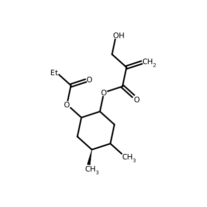 C=C(CO)C(=O)OC1CC(C)[C@@H](C)CC1OC(=O)CC